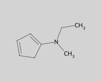 CCN(C)C1=CC=CC1